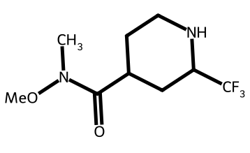 CON(C)C(=O)C1CCNC(C(F)(F)F)C1